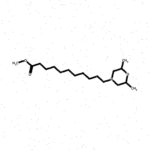 COC(=O)CCCCCCCCCCN1CC(C)OC(C)C1